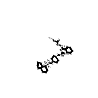 CC(C)(C)OC(=O)NNc1nc(NC[C@H]2CC[C@H](CNS(=O)(=O)c3cccc4ccccc34)CC2)nc2ccccc12